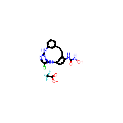 O=C(NO)Nc1ccc2cc1CCc1cccc(c1)Nc1ncc(Cl)c(n1)N2.O=C(O)C(F)(F)F